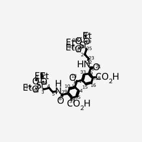 CCO[Si](CCCNC(=O)c1cc(C(=O)c2ccc(C(=O)O)c(C(=O)NCCC[Si](OCC)(OCC)OCC)c2)ccc1C(=O)O)(OCC)OCC